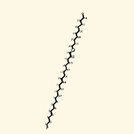 CCCCCCCCCCCCCCCCCCCCCCC[CH]OCCCCCCCCCCC